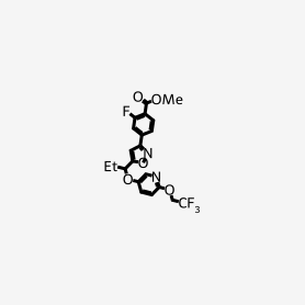 CCC(Oc1ccc(OCC(F)(F)F)nc1)c1cc(-c2ccc(C(=O)OC)c(F)c2)no1